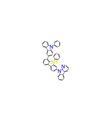 c1ccc(-n2c3ccccc3c3cc(-c4cccc5c4[SH](c4ccccc4)c4cc(-n6c7ccccc7c7cccnc76)ccc4-5)ccc32)cc1